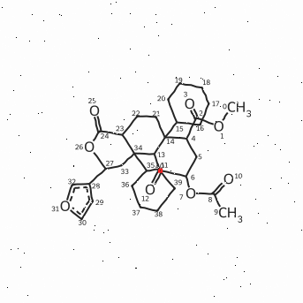 COC(=O)C1CC(OC(C)=O)C(=O)C2C1(C1CCCCC1)CCC1C(=O)OC(c3ccoc3)CC12C1CCCCC1